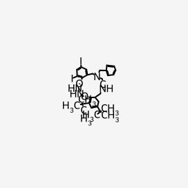 CC(C)(C)C1=CC(C(C)(C)C)=C2ONNOc3c(I)cc(I)cc3CN(Cc3ccccc3)CCNCC2C1